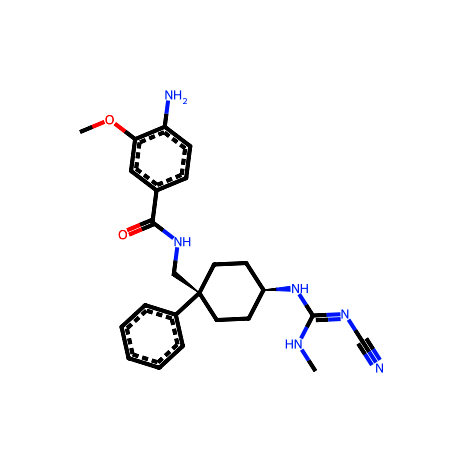 CN/C(=N\C#N)N[C@H]1CC[C@](CNC(=O)c2ccc(N)c(OC)c2)(c2ccccc2)CC1